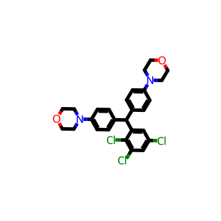 Clc1cc(Cl)c(Cl)c(C(c2ccc(N3CCOCC3)cc2)c2ccc(N3CCOCC3)cc2)c1